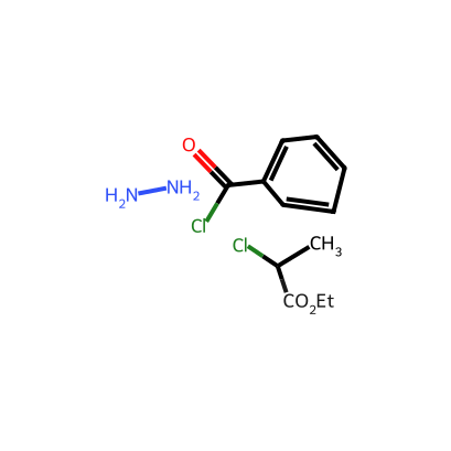 CCOC(=O)C(C)Cl.NN.O=C(Cl)c1ccccc1